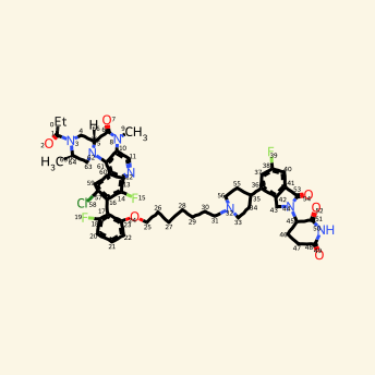 CCC(=O)N1C[C@@H]2C(=O)N(C)c3cnc4c(F)c(-c5c(F)cccc5OCCCCCCCN5CCC(c6cc(F)cc7c6CN(C6CCC(=O)NC6=O)C7=O)CC5)c(Cl)cc4c3N2C[C@H]1C